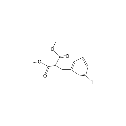 COC(=O)C(Cc1cccc(I)c1)C(=O)OC